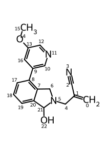 C=C(C#N)CN1Cc2c(-c3cncc(OC)c3)cccc2C1O